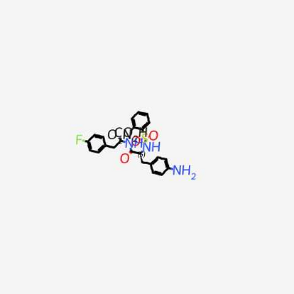 Nc1ccc(C[C@H](NS(=O)(=O)c2ccccc2[N+](=O)[O-])C(=O)NC(Cc2ccc(F)cc2)C(=O)O)cc1